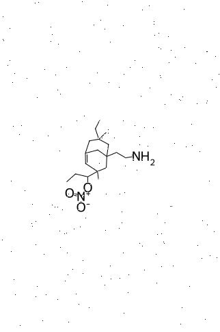 CCC(O[N+](=O)[O-])C1(C)C=C2CC(C)(CC)CC(CCN)(C2)C1